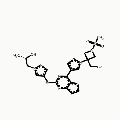 C[C@H](O)Cn1cc(Nc2nc(-c3cnn(C4(CC#N)CN(S(C)(=O)=O)C4)c3)c3sccc3n2)cn1